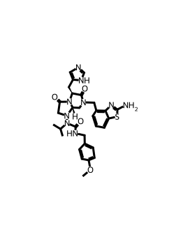 COc1ccc(CNC(=O)N(C(C)C)N2CC(=O)N3[C@@H](Cc4cnc[nH]4)C(=O)N(Cc4cccc5sc(N)nc45)C[C@@H]32)cc1